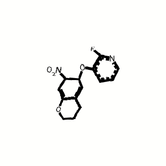 O=[N+]([O-])C1C=C2OCCCC2=CC1Oc1cccnc1F